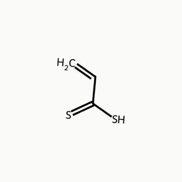 C=CC(=S)S